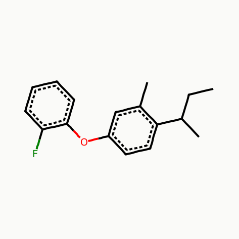 CCC(C)c1ccc(Oc2ccccc2F)cc1C